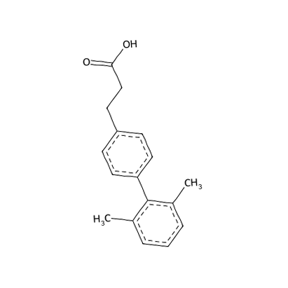 Cc1cccc(C)c1-c1ccc(CCC(=O)O)cc1